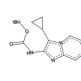 CC(C)(C)OC(=O)Nc1nc2ccccn2c1C1CC1